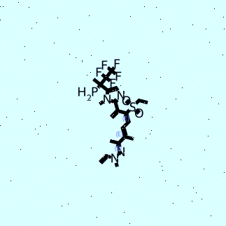 C=CN(C)/N=C(C)/C(C)=C/C=C(\C(=C)c1ncc(C(C)(P)C(F)(F)C(F)(F)F)n1C)S(=O)(=O)CC